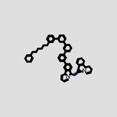 C1=CC(C2=CC(c3cccc(-c4ccc5c(c4)C4C=CC=CN4C5/C=C4\C5C6=C(CCC=C6)C6CCC=CN6C45)c3)=CCC2)CC(c2cccc(CCCCCCC3=CCCC=C3)c2)=C1